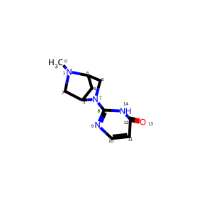 CN1CC2CC1CN2c1nccc(=O)[nH]1